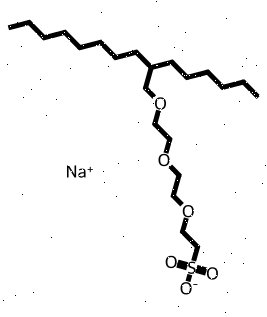 CCCCCCCCC(CCCCCC)COCCOCCOCCS(=O)(=O)[O-].[Na+]